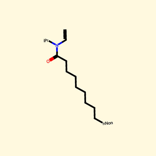 C=CN(C(=O)CCCCCCCCCCCCCCCCC)C(C)C